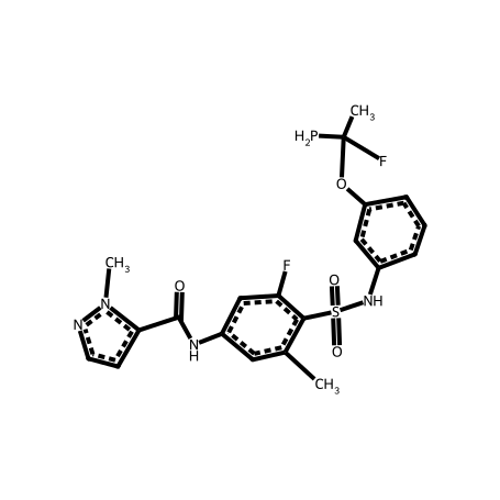 Cc1cc(NC(=O)c2ccnn2C)cc(F)c1S(=O)(=O)Nc1cccc(OC(C)(F)P)c1